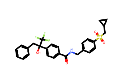 O=C(NCc1ccc(S(=O)(=O)CC2CC2)cc1)c1ccc(C(O)(Cc2ccccc2)C(F)(F)F)cc1